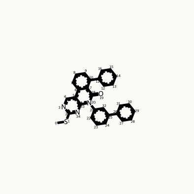 CSc1ncc2c3cccc(-c4ccccc4)c3c(=O)n(-c3cccc(-c4ccccc4)c3)c2n1